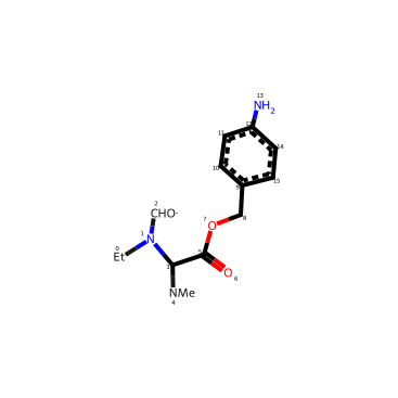 CCN([C]=O)C(NC)C(=O)OCc1ccc(N)cc1